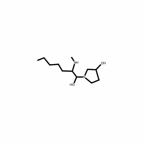 CCCCCC(NC)C(O)N1CCC(O)C1